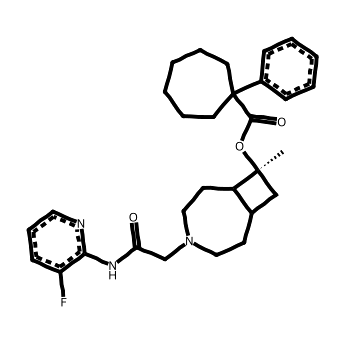 C[C@]1(OC(=O)C2(c3ccccc3)CCCCCC2)CC2CCN(CC(=O)Nc3ncccc3F)CCC21